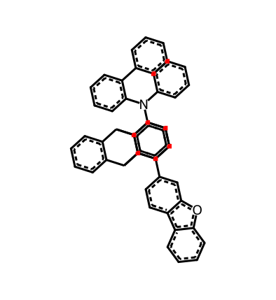 c1ccc(-c2ccccc2N(c2ccccc2)c2ccc(-c3ccc4c(c3)oc3ccccc34)c3c2C2c4ccccc4C3c3ccccc32)cc1